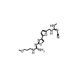 CN/C(=N/C#N)NCc1ccc(-c2csc(/N=C(\N)NCCCOC)n2)o1